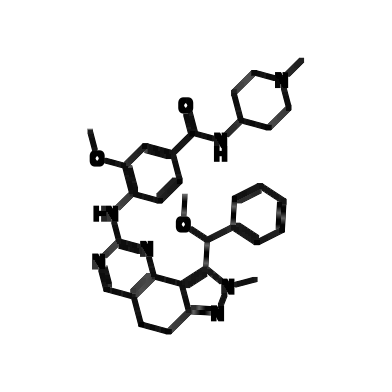 COc1cc(C(=O)NC2CCN(C)CC2)ccc1Nc1ncc2c(n1)-c1c(nn(C)c1C(OC)c1ccccc1)CC2